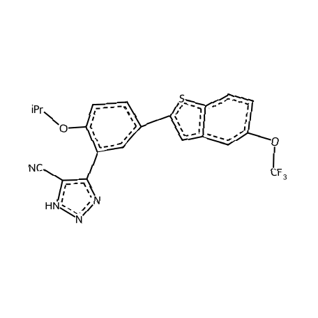 CC(C)Oc1ccc(-c2cc3cc(OC(F)(F)F)ccc3s2)cc1-c1nn[nH]c1C#N